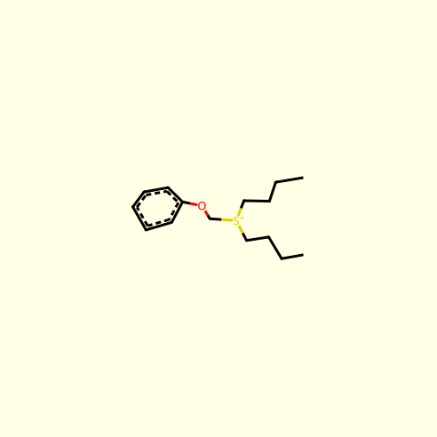 CCCC[S+](CCCC)COc1ccccc1